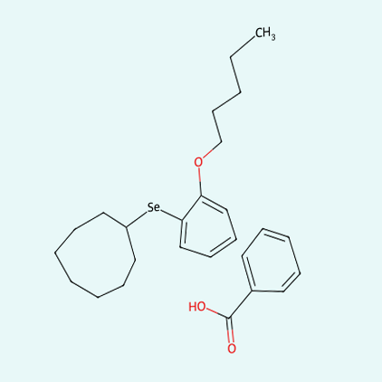 CCCCCOc1ccccc1[Se]C1CCCCCCC1.O=C(O)c1ccccc1